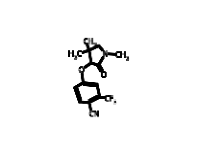 CN1CC(C)(C)C(Oc2ccc(C#N)c(C(F)(F)F)c2)C1=O